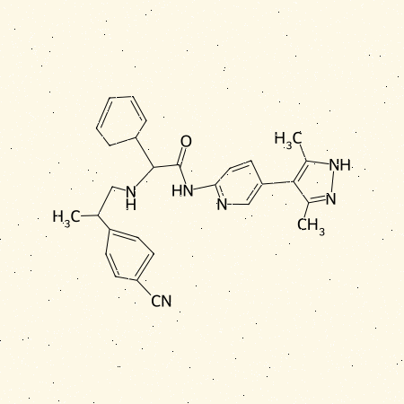 Cc1n[nH]c(C)c1-c1ccc(NC(=O)C(NCC(C)c2ccc(C#N)cc2)C2C=CC=CC2)nc1